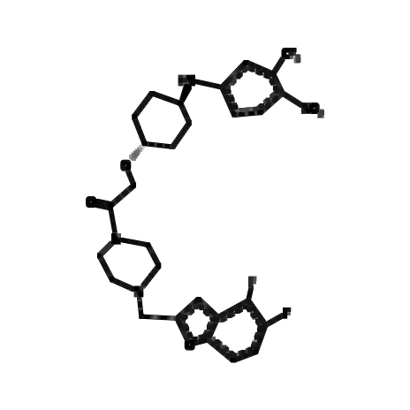 O=C(CO[C@H]1CC[C@H](Nc2ccc([N+](=O)[O-])c(C(F)(F)F)c2)CC1)N1CCN(Cc2cc3c(F)c(F)ccc3o2)CC1